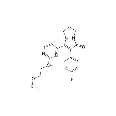 COCCNc1nccc(-c2c(-c3ccc(F)cc3)c(=O)n3n2CCC3)n1